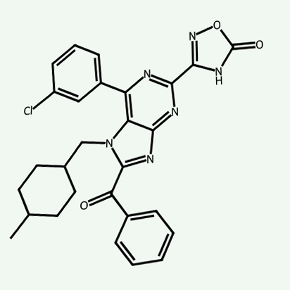 CC1CCC(Cn2c(C(=O)c3ccccc3)nc3nc(-c4noc(=O)[nH]4)nc(-c4cccc(Cl)c4)c32)CC1